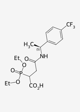 CCOP(=O)(OCC)C(CC(=O)N[C@@H](C)c1ccc(C(F)(F)F)cc1)C(=O)O